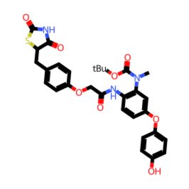 CN(C(=O)OC(C)(C)C)c1cc(Oc2ccc(O)cc2)ccc1NC(=O)COc1ccc(CC2SC(=O)NC2=O)cc1